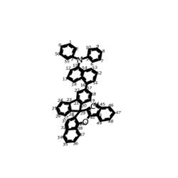 c1ccc(N(c2ccccc2)c2cccc3c(-c4ccc5c(c4)-c4ccccc4C54c5ccc6ccccc6c5Oc5c4ccc4ccccc54)cccc23)cc1